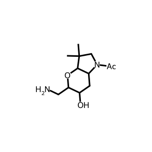 CC(=O)N1CC(C)(C)C2OC(CN)C(O)CC21